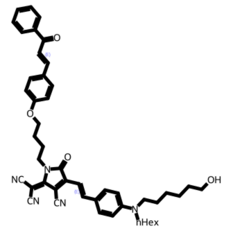 CCCCCCN(CCCCCCO)c1ccc(/C=C/C2=C(C#N)C(=C(C#N)C#N)N(CCCCOc3ccc(/C=C/C(=O)c4ccccc4)cc3)C2=O)cc1